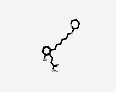 COC(=O)CCc1c(O)cccc1CCCCCCOC1CCCCO1